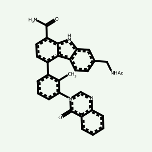 CC(=O)NCc1ccc2c(c1)[nH]c1c(C(N)=O)ccc(-c3cccc(-n4cnc5ccccc5c4=O)c3C)c12